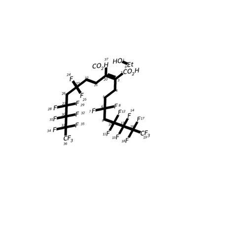 CCO.O=C(O)/C(CCC(F)(F)CC(F)(F)C(F)(F)C(F)(F)C(F)(F)F)=C(/CCC(F)(F)CC(F)(F)C(F)(F)C(F)(F)C(F)(F)F)C(=O)O